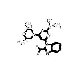 C[C@@H]1CN(c2cc(-n3c(C(F)F)nc4ccccc43)nc([S+](C)[O-])n2)C[C@H](C)O1